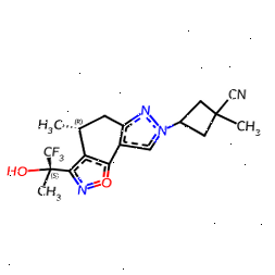 C[C@@H]1Cc2nn(C3CC(C)(C#N)C3)cc2-c2onc([C@](C)(O)C(F)(F)F)c21